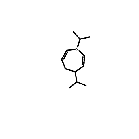 CC(C)C1C=CN(C(C)C)C=CC1